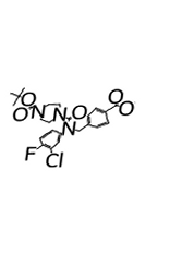 COC(=O)c1ccc(CN(C(=O)N2CCN(C(=O)OC(C)(C)C)CC2)c2ccc(F)c(Cl)c2)cc1